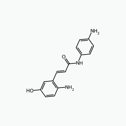 Nc1ccc(NC(=O)C=Cc2cc(O)ccc2N)cc1